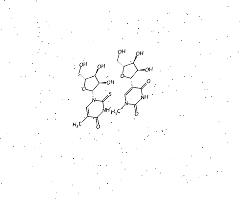 Cc1cn([C@@H]2O[C@H](CO)[C@@H](O)[C@H]2O)c(=S)[nH]c1=O.Cn1cc([C@@H]2O[C@H](CO)[C@@H](O)[C@H]2O)c(=O)[nH]c1=O